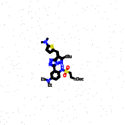 CCCCCCCCCCCCS(=O)(=O)Nc1ccc(N(CC)CC)cc1-c1nnc2/c(=C\c3ccc(N(C)C)s3)c(C(C)(C)C)nn12